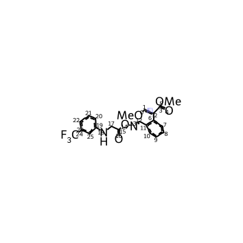 CO/C=C(/C(=O)OC)c1ccccc1C=NOC(=O)CNc1cccc(C(F)(F)F)c1